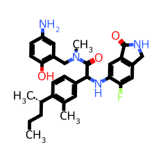 CCC[C@H](C)c1ccc(C(Nc2cc3c(cc2F)CNC3=O)C(=O)N(C)Cc2cc(N)ccc2O)cc1C